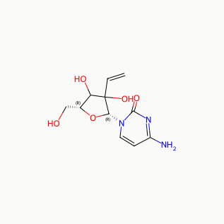 C=CC1(O)C(O)[C@@H](CO)O[C@H]1n1ccc(N)nc1=O